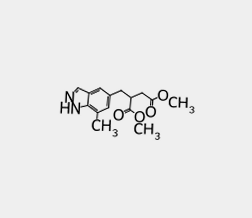 COC(=O)CC(Cc1cc(C)c2[nH]ncc2c1)C(=O)OC